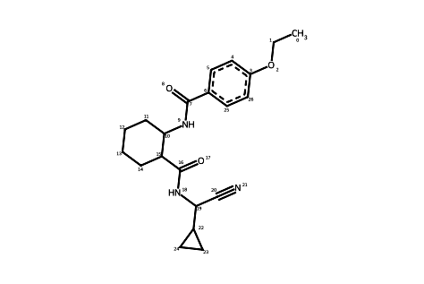 CCOc1ccc(C(=O)NC2CCCCC2C(=O)NC(C#N)C2CC2)cc1